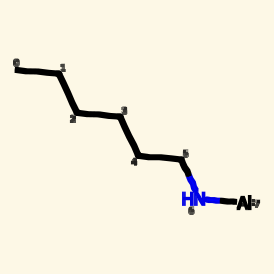 CCCCCC[NH][Al]